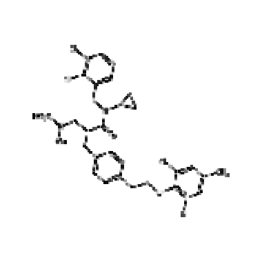 Cc1cc(Cl)c(OCCc2ccc(CC(CN(C(=O)O)C(C)(C)C)C(=O)N(Cc3cccc(Cl)c3Cl)C3CC3)cc2)c(Cl)c1